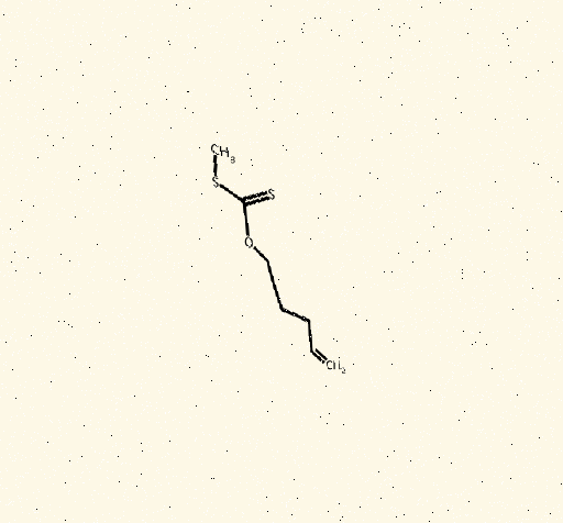 C=CCCCOC(=S)SC